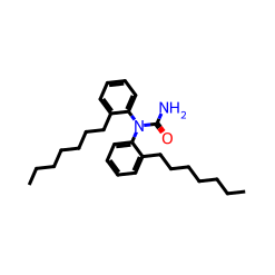 CCCCCCCc1ccccc1N(C(N)=O)c1ccccc1CCCCCCC